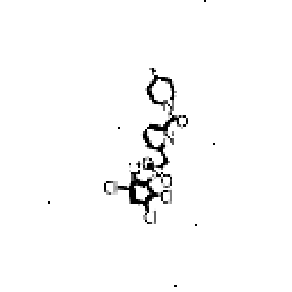 CC1CCN(C(=O)c2cccc(CS(=O)(=O)c3c(Cl)c(Cl)cc(Cl)c3Cl)n2)CC1